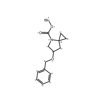 CC(C)(C)OC(=O)N1CC(OCc2ccccc2)CC12CC2